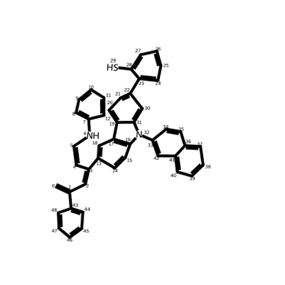 C=C(/C=C(\C=C/Nc1ccccc1)c1ccc2c(c1)c1ccc(-c3ccccc3S)cc1n2-c1ccc2ccccc2c1)c1ccccc1